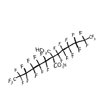 O=C(O)C(C(=O)O)(C(F)(F)C(F)(F)C(F)(F)C(F)(F)C(F)(F)C(F)(F)F)C(F)(F)C(F)(F)C(F)(F)C(F)(F)C(F)(F)C(F)(F)F